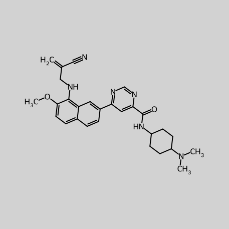 C=C(C#N)CNc1c(OC)ccc2ccc(-c3cc(C(=O)NC4CCC(N(C)C)CC4)ncn3)cc12